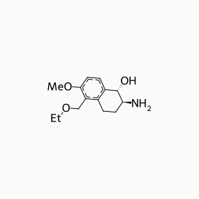 CCOCc1c(OC)ccc2c1CC[C@H](N)[C@H]2O